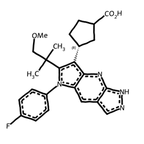 COCC(C)(C)c1c([C@@H]2CCC(C(=O)O)C2)c2nc3[nH]ncc3cc2n1-c1ccc(F)cc1